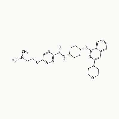 CN(C)CCOc1cnc(C(=O)N[C@H]2CC[C@@H](Oc3nc(N4CCOCC4)cc4ccccc34)CC2)nc1